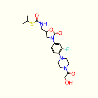 CC(C)SC(=O)NCC1CN(c2ccc(N3CCN(C(=O)CO)CC3)c(F)c2)C(=O)O1